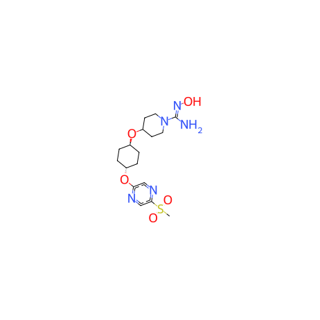 CS(=O)(=O)c1cnc(O[C@H]2CC[C@H](OC3CCN(C(N)=NO)CC3)CC2)cn1